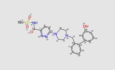 CC(C)(C)S(=O)(=O)NC(=O)c1ccc(N2CCN(Cc3ccccc3-c3cccc(O)c3)CC2)nn1